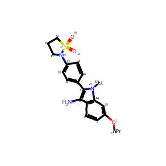 CCCOc1ccc2c(N)c(-c3ccc(N4CCCS4(=O)=O)cc3)n(CC)c2c1